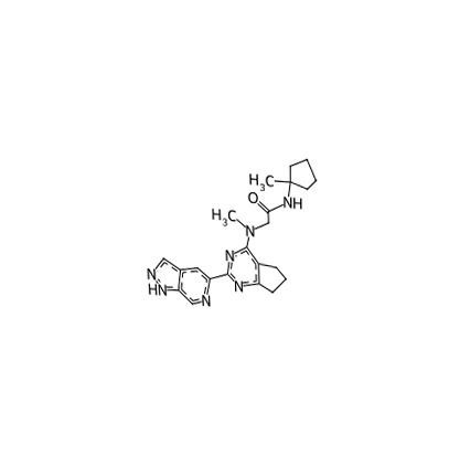 CN(CC(=O)NC1(C)CCCC1)c1nc(-c2cc3cn[nH]c3cn2)nc2c1CCC2